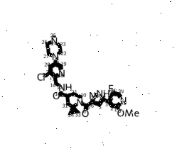 COc1cc(-c2cc(C(=O)N3CCC(C(=O)NCc4ncc(N5CCN(C)CC5)cc4Cl)CC34CC4)n[nH]2)c(F)cn1